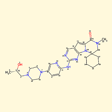 C[C@H](O)CN1CCN(c2ccc(Nc3ncc4cc5n(c4n3)C3(CCCCC3)CN(C)C5=O)nc2)CC1